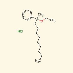 CCCCCCCCCC(C)(OCC)c1ccccc1.Cl